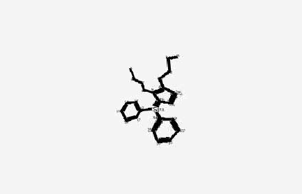 CCCCC1=C(CCCC)C(=[Si](c2ccccc2)c2ccccc2)C=C1